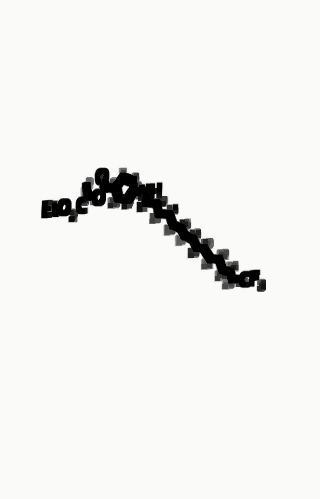 CCOC(=O)C(C)OC(=O)c1ccc(NCCCCCCCCCCCCCCCC(F)(F)F)cc1